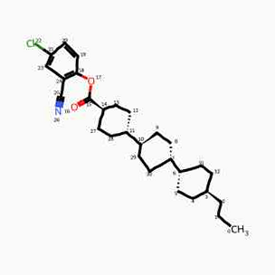 CCC[C@H]1CC[C@H]([C@H]2CC[C@H]([C@H]3CC[C@H](C(=O)Oc4ccc(Cl)cc4C#N)CC3)CC2)CC1